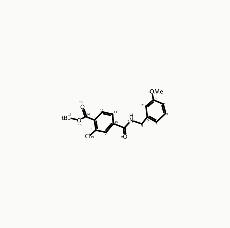 COc1cccc(CNC(=O)c2ccc(C(=O)OC(C)(C)C)c(Cl)c2)c1